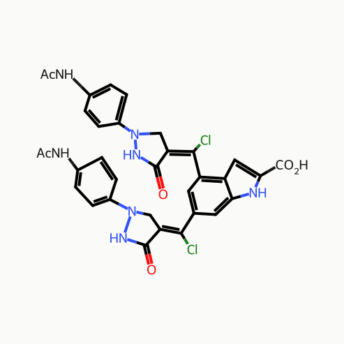 CC(=O)Nc1ccc(N2CC(=C(Cl)c3cc(C(Cl)=C4CN(c5ccc(NC(C)=O)cc5)NC4=O)c4cc(C(=O)O)[nH]c4c3)C(=O)N2)cc1